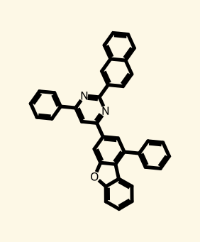 c1ccc(-c2cc(-c3cc(-c4ccccc4)c4c(c3)oc3ccccc34)nc(-c3ccc4ccccc4c3)n2)cc1